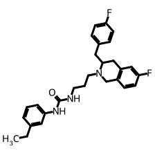 CCc1cccc(NC(=O)NCCCN2Cc3ccc(F)cc3CC2Cc2ccc(F)cc2)c1